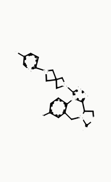 O=C1OCC2c3nnc(N4CC5(CN(c6ccc(F)cn6)C5)C4)n3-c3ccc(Cl)cc3CN12